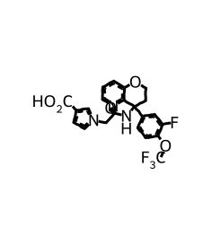 O=C(Cn1ccc(C(=O)O)c1)NC1(c2ccc(OC(F)(F)F)c(F)c2)CCOc2cccnc21